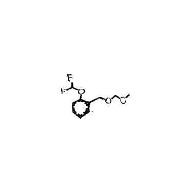 COCOCc1[c]cccc1OC(F)F